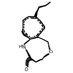 CCc1ccc2c(c1)COCC(=O)N2